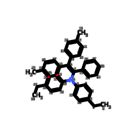 CCc1ccc(N(C(=C(c2ccc(C)cc2)c2ccc(C)cc2)c2ccccc2)c2ccc(CC)cc2)cc1